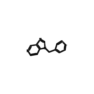 [c]1ccc(Cn2cnc3cnccc32)cc1